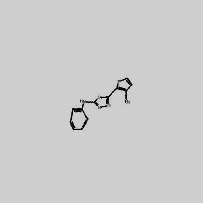 Brc1ccsc1-c1nnc(Nc2ccccc2)s1